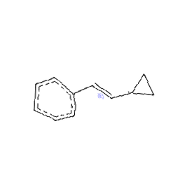 C(=C\c1ccccc1)/[C]1CC1